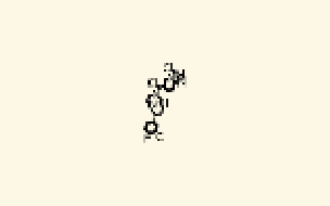 O=C(c1ccc2nnc(Cl)n2c1)N1CCN2C[C@@H](c3ccc(F)c(Cl)c3)CC[C@@H]2C1